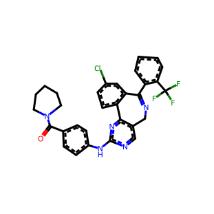 O=C(c1ccc(Nc2ncc3c(n2)-c2ccc(Cl)cc2C(c2ccccc2C(F)(F)F)=NC3)cc1)N1CCCCC1